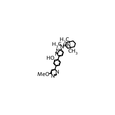 COc1cc(-c2ccc(-c3ccc(N(C)[C@H]4C[C@]5(C)CCC[C@](C)(C4)N5)nn3)c(O)c2)ncn1